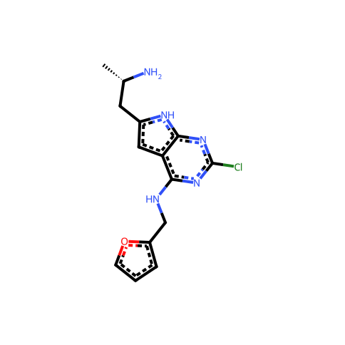 C[C@H](N)Cc1cc2c(NCc3ccco3)nc(Cl)nc2[nH]1